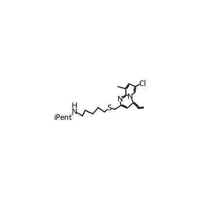 C=C=C1C=C(CSCCCCCNC(C)CCC)N=C2C(C)=CC(Cl)=CN12